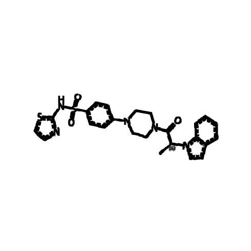 C[C@@H](C(=O)N1CCN(c2ccc(S(=O)(=O)Nc3nccs3)cc2)CC1)n1ccc2ccccc21